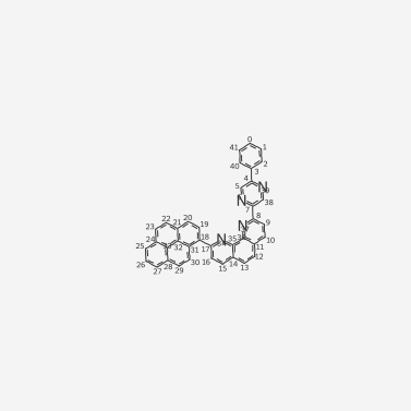 c1ccc(-c2cnc(-c3ccc4ccc5ccc(-c6ccc7ccc8cccc9ccc6c7c89)nc5c4n3)cn2)cc1